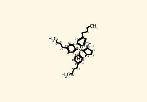 CCCCc1ccc([Si](C2=C(C)C=CC2C)(c2ccc(CCCC)cc2)c2ccc(CCCC)cc2)cc1